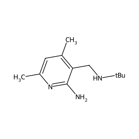 Cc1cc(C)c(CNC(C)(C)C)c(N)n1